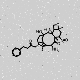 C/C1=C2\C(N)C(=O)C3(C)C(N=O)C[C@@]4(C)OCC4[C@@]3(N)CC(O)(CC[C@@H]1CC(=O)CCc1ccccc1)CC2(C)C